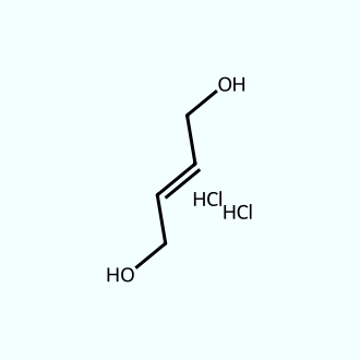 Cl.Cl.OCC=CCO